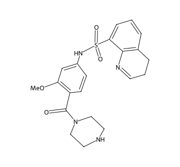 COc1cc(NS(=O)(=O)c2cccc3c2N=CCC3)ccc1C(=O)N1CCNCC1